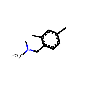 Cc1ccc(CN(C)C(=O)O)c(C)c1